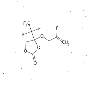 C=C(F)COC1(C(F)(F)C(F)(F)F)COC(=O)O1